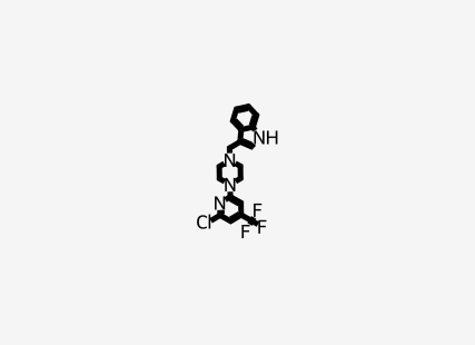 FC(F)(F)c1cc(Cl)nc(N2CCN(Cc3c[nH]c4ccccc34)CC2)c1